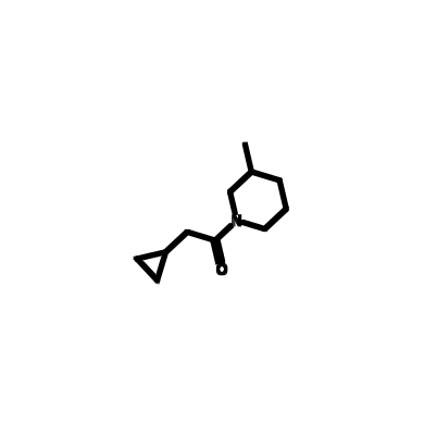 CC1CCCN(C(=O)CC2CC2)C1